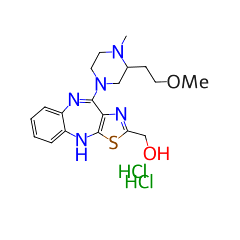 COCCC1CN(C2=Nc3ccccc3Nc3sc(CO)nc32)CCN1C.Cl.Cl